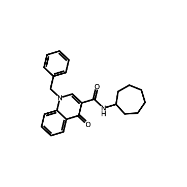 O=C(NC1CCCCCC1)c1cn(Cc2ccccc2)c2ccccc2c1=O